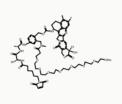 CC[C@@]1(O)C(=O)OCc2c1cc1n(c2=O)Cc2c-1nc1cc(F)c(C)c3c1c2[C@@H](NC(=O)OCc1ccc(NC(=O)[C@H](C)NC(=O)[C@@H](NC(=O)CCCCCN2C(=O)C=CC2=O)C(C)C)cc1CN(C)C(=O)CCOCCOCCOCCOCCOCCOCCOCCOC)CC3